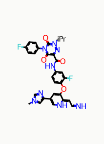 CC(C)n1nc(C(=O)Nc2ccc(OC3=CC(c4cn(C)cn4)=CN/C3=C\C=N)c(F)c2)c(=O)n(-c2ccc(F)cc2)c1=O